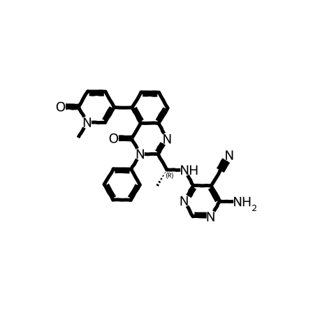 C[C@@H](Nc1ncnc(N)c1C#N)c1nc2cccc(-c3ccc(=O)n(C)c3)c2c(=O)n1-c1ccccc1